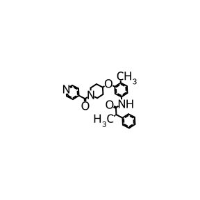 Cc1ccc(NC(=O)[C@H](C)c2ccccc2)cc1OC1CCN(C(=O)c2ccncc2)CC1